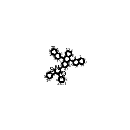 c1ccc2cc(-c3c4ccccc4c(-c4ccc5ccccc5c4)c4cc(-c5nc6sc7ccccc7c6c6c5oc5ccccc56)ccc34)ccc2c1